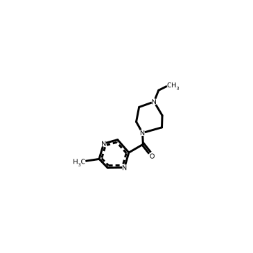 CCN1CCN(C(=O)c2cnc(C)cn2)CC1